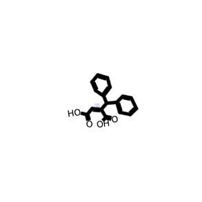 O=C(O)/C=C(\C(=O)O)C(c1ccccc1)c1ccccc1